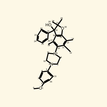 COc1ccc(N2CCN(c3c(C)c(C)c4c(c3C)C(O)(c3ccccc3)C(C)(C)O4)CC2)cc1